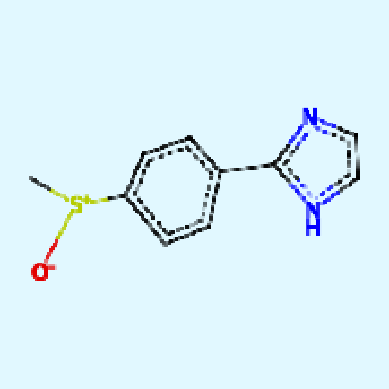 C[S+]([O-])c1ccc(-c2ncc[nH]2)cc1